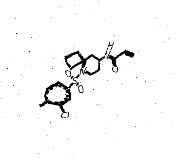 C=CC(=O)NC1CCN(S(=O)(=O)c2ccc(C)c(Cl)c2)C2(CCC2)C1